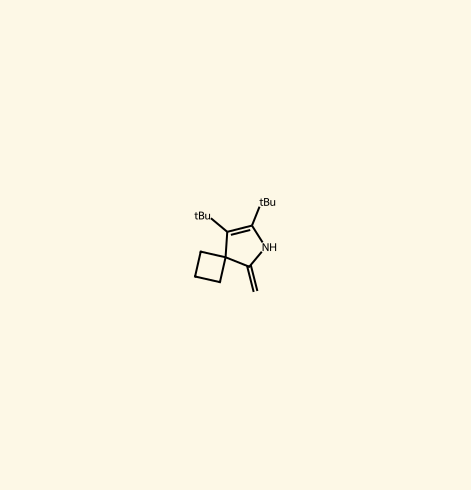 C=C1NC(C(C)(C)C)=C(C(C)(C)C)C12CCC2